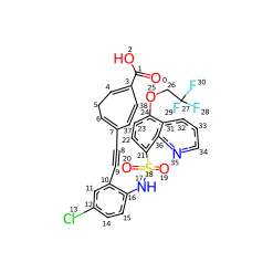 O=C(O)C1=CCC=C(C#Cc2cc(Cl)ccc2NS(=O)(=O)c2ccc(OCC(F)(F)F)c3cccnc23)C=C1